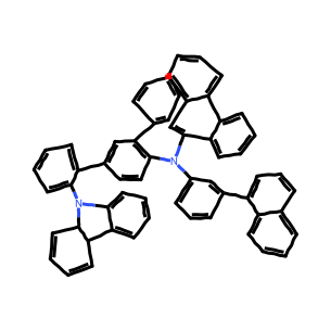 C1=CC2c3ccccc3N(c3ccccc3-c3ccc(N(c4cccc(-c5cccc6ccccc56)c4)c4cc5ccccc5c5ccccc45)c(-c4ccccc4)c3)C2C=C1